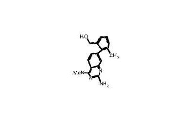 CNc1nc(N)nc2cc(-c3c(C)cccc3CO)ccc12